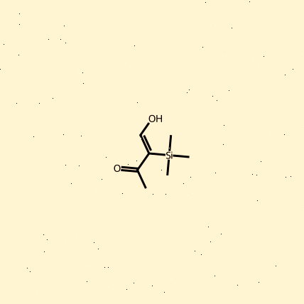 CC(=O)C(=CO)[Si](C)(C)C